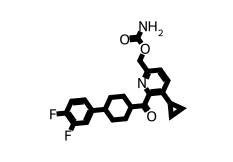 NC(=O)OCc1ccc(C2CC2)c(C(=O)C2CCC(c3ccc(F)c(F)c3)CC2)n1